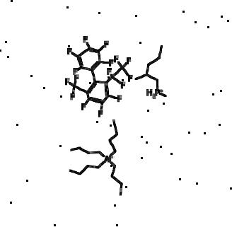 CCCC(C)C[PH2+]C.CCC[CH2][Al-]([CH2]CCC)([CH2]CCC)[CH2]CCC.Fc1c(F)c(F)c(-c2c(C(F)(F)F)c(F)c(F)c(F)c2C(F)(F)C(F)(F)F)c(F)c1F